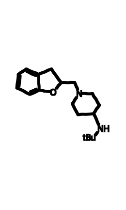 CC(C)(C)NC1CCN(CC2Cc3ccccc3O2)CC1